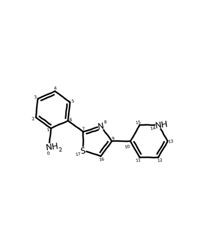 Nc1ccccc1-c1nc(C2=CC=CNC2)cs1